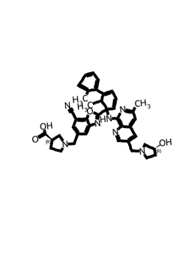 Cc1cc2cc(CN3CC[C@@H](O)C3)cnc2c(NC2(c3nc4cc(CN5CC[C@@H](C(=O)O)C5)cc(C#N)c4o3)C=CC=C(c3ccccc3C)C2C)n1